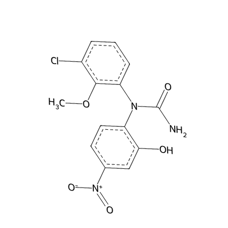 COc1c(Cl)cccc1N(C(N)=O)c1ccc([N+](=O)[O-])cc1O